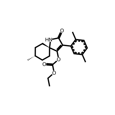 CCOC(=O)OC1=C(c2cc(C)ccc2C)C(=O)N[C@]12CC[C@@H](C)CC2